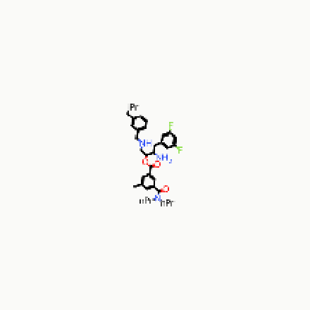 CCCN(CCC)C(=O)c1cc(C)cc(C(=O)OC(CNCc2cccc(CC(C)C)c2)C(N)Cc2cc(F)cc(F)c2)c1